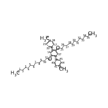 CCCCCCCCCCCCOc1cc(-c2ccc(C)cc2)c(OCCCCCCCCCCCC)cc1-c1ccc(C)cc1